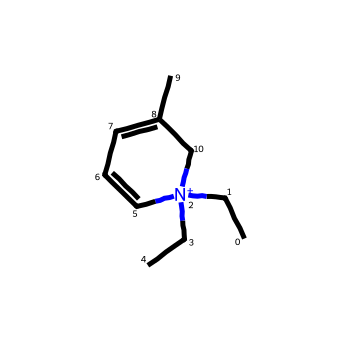 CC[N+]1(CC)C=CC=C(C)C1